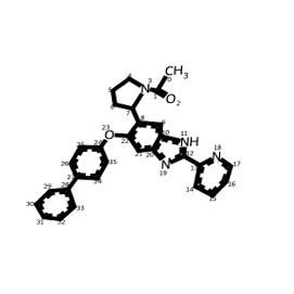 CC(=O)N1CCCC1c1cc2[nH]c(-c3ccccn3)nc2cc1Oc1ccc(-c2ccccc2)cc1